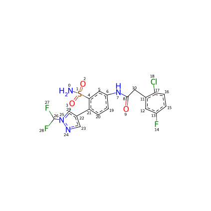 NS(=O)(=O)c1cc(NC(=O)Cc2cc(F)ccc2Cl)ccc1-c1cnn(C(F)F)c1